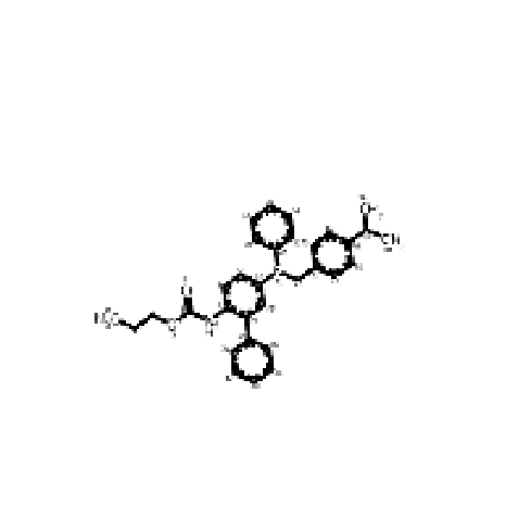 CCCOC(=O)Nc1ccc(N(Cc2ccc(C(C)C)cc2)c2ccccc2)cc1-c1ccccc1